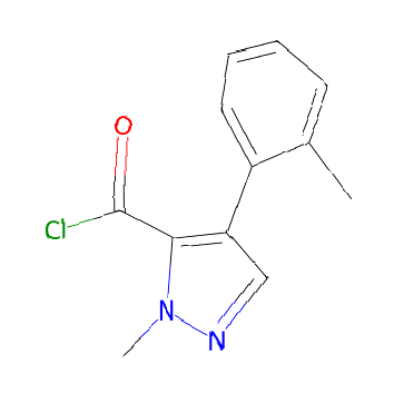 Cc1ccccc1-c1cnn(C)c1C(=O)Cl